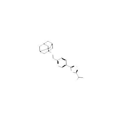 FC(F)c1nnc(-c2ccc(COC34CC5CC(CC(C5)C3)C4)nc2)o1